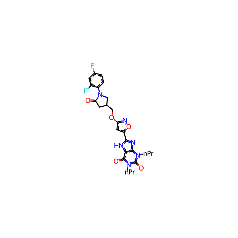 CCCn1c(=O)c2[nH]c(-c3cc(OCC4CC(=O)N(c5ccc(F)cc5F)C4)no3)nc2n(CCC)c1=O